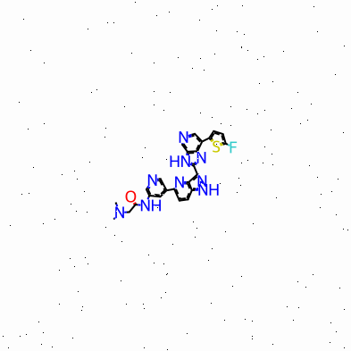 CN(C)CC(=O)Nc1cncc(-c2ccc3[nH]nc(-c4nc5c(-c6ccc(F)s6)cncc5[nH]4)c3n2)c1